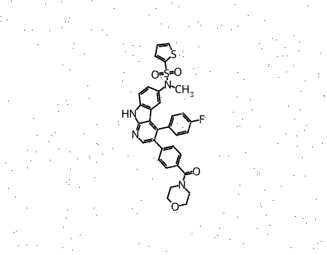 CN(c1ccc2[nH]c3ncc(-c4ccc(C(=O)N5CCOCC5)cc4)c(-c4ccc(F)cc4)c3c2c1)S(=O)(=O)c1cccs1